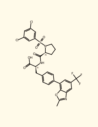 Cc1nc2cc(C(F)(F)F)cc(-c3ccc(C[C@H](NC(=O)[C@@H]4CCCN4S(=O)(=O)c4cc(Cl)cc(Cl)c4)C(=O)O)cc3)c2o1